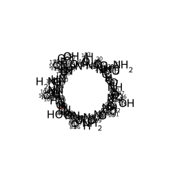 CCCC[C@H]1C(=O)N(C)[C@@H](CCCC)C(=O)N[C@@H](CC(C)C)C(=O)N[C@H](C(=O)NCC(N)=O)CSCC(=O)N[C@@H](Cc2ccc(O)cc2)C(=O)N(C)[C@@H](C)C(=O)N[C@@H](Cc2ccccc2)C(=O)N2CCCC2C(=O)N[C@@H](CN)C(=O)N[C@@H](Cc2ccccc2)C(=O)N2C[C@H](O)C[C@H]2C(=O)N[C@@H](Cc2c[nH]c3ccccc23)C(=O)N[C@@H](CCN)C(=O)N[C@@H](Cc2cn(CC(=O)O)c3ccccc23)C(=O)N1C